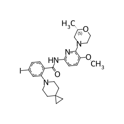 COc1ccc(NC(=O)c2ccc(I)cc2N2CCC3(CC2)CC3)nc1N1CCO[C@@H](C)C1